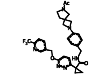 CC(=O)N1CCC2(C1)CN(c1ccc(CNC(=O)C3(c4ccc(OCc5ccc(C(F)(F)F)nc5)nn4)CC3)cc1)C2